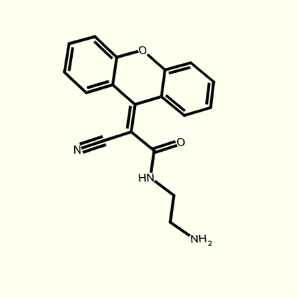 N#CC(C(=O)NCCN)=C1c2ccccc2Oc2ccccc21